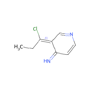 CC/C(Cl)=C1/C=NC=CC1=N